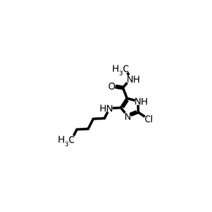 CCCCCNc1nc(Cl)[nH]c1C(=O)NC